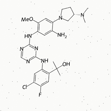 COc1cc(N2CC[C@H](N(C)C)C2)c(N)cc1Nc1ncnc(Nc2cc(Cl)c(F)cc2C(C)(C)O)n1